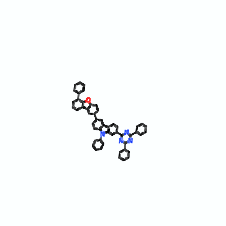 c1ccc(-c2nc(-c3ccccc3)nc(-c3ccc4c5cc(-c6ccc7oc8c(-c9ccccc9)cccc8c7c6)ccc5n(-c5ccccc5)c4c3)n2)cc1